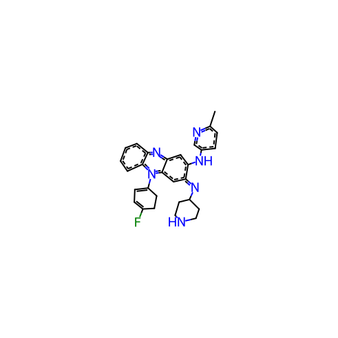 Cc1ccc(Nc2cc3nc4ccccc4n(C4=CC=C(F)CC4)c-3c/c2=N\C2CCNCC2)cn1